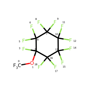 FC(F)(F)OC1(F)C(F)(F)C(F)(F)C(F)(F)C(F)(F)C1(F)F